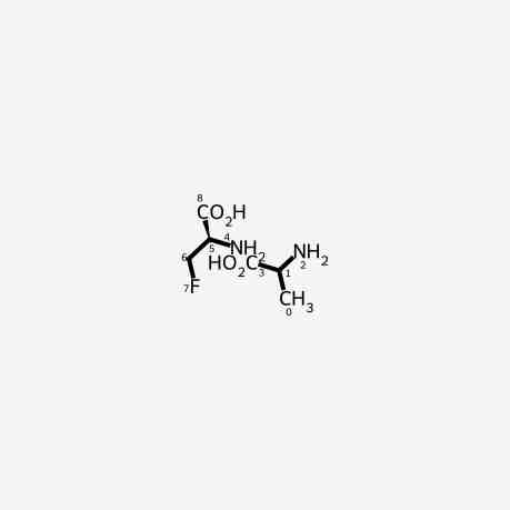 CC(N)C(=O)O.N[C@@H](CF)C(=O)O